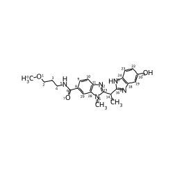 COCCCNC(=O)c1ccc2nc(C(C)c3nc4cc(O)ccc4[nH]3)n(C)c2c1